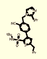 CC(C)Cc1cc(-c2ccc(Cn3ccnc3C(C)C)c(C#N)c2)c(S(=O)(=O)NC(C)(C)C)s1